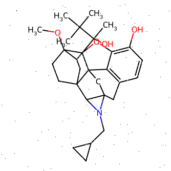 COC12CCC3(CC1C(C)(O)C(C)(C)C)C1N(CC4CC4)C14Cc1ccc(O)c5c1C3(C4)C2O5